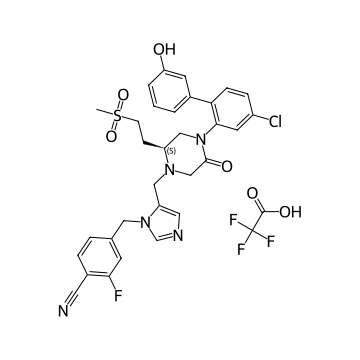 CS(=O)(=O)CC[C@H]1CN(c2cc(Cl)ccc2-c2cccc(O)c2)C(=O)CN1Cc1cncn1Cc1ccc(C#N)c(F)c1.O=C(O)C(F)(F)F